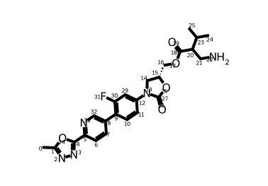 Cc1nnc(-c2ccc(-c3ccc(N4C[C@H](COC(=O)C(CN)C(C)C)OC4=O)cc3F)cn2)o1